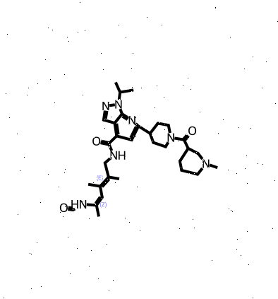 C/C(=C/C(C)=C(\C)CNC(=O)c1cc(C2CCN(C(=O)C3CCCN(C)C3)CC2)nc2c1cnn2C(C)C)NC=O